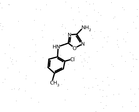 Cc1ccc(Nc2nc(N)no2)c(Cl)c1